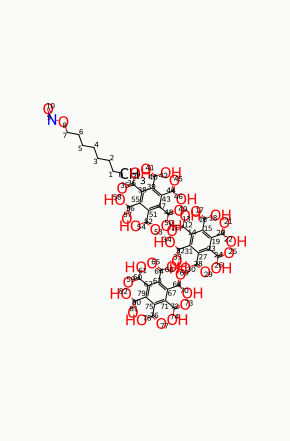 CCCCCCCCON=O.O=C(O)c1c(C(=O)O)c(C(=O)O)c(C(=O)O)c(C(=O)O)c1C(=O)O.O=C(O)c1c(C(=O)O)c(C(=O)O)c(C(=O)O)c(C(=O)O)c1C(=O)O.O=C(O)c1c(C(=O)O)c(C(=O)O)c(C(=O)O)c(C(=O)O)c1C(=O)O